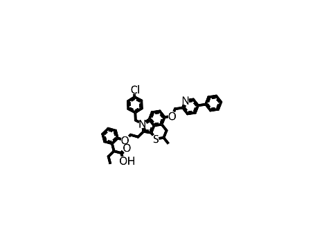 CCC(C(=O)O)c1ccccc1OCCc1c2c3c(c(OCc4ccc(-c5ccccc5)cn4)ccc3n1Cc1ccc(Cl)cc1)CC(C)S2